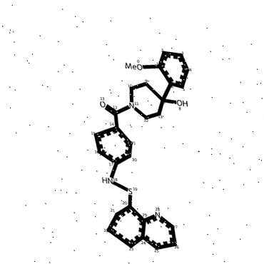 COc1ccccc1C1(O)CCN(C(=O)c2ccc(NSc3cccc4cccnc34)cc2)CC1